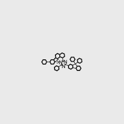 c1ccc(-c2ccc3sc4c(ccc5cccc(-c6nc(-c7ccccc7)nc(-c7ccc8c(c7)C(c7ccccc7)(c7ccccc7)c7ccccc7-8)n6)c54)c3c2)cc1